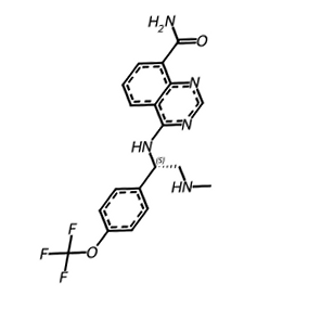 CNC[C@@H](Nc1ncnc2c(C(N)=O)cccc12)c1ccc(OC(F)(F)F)cc1